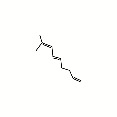 C=CCCC=CC=C(C)C